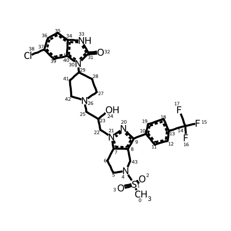 CS(=O)(=O)N1CCc2c(c(-c3ccc(C(F)(F)F)cc3)nn2CC(O)CN2CCC(n3c(=O)[nH]c4ccc(Cl)cc43)CC2)C1